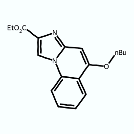 CCCCOc1cc2nc(C(=O)OCC)cn2c2ccccc12